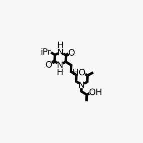 CC(O)CN(CCCCC1NC(=O)C(C(C)C)NC1=O)CC(C)O